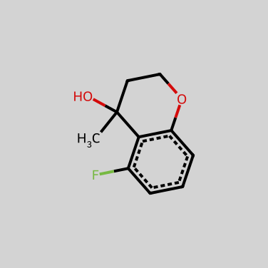 CC1(O)CCOc2cccc(F)c21